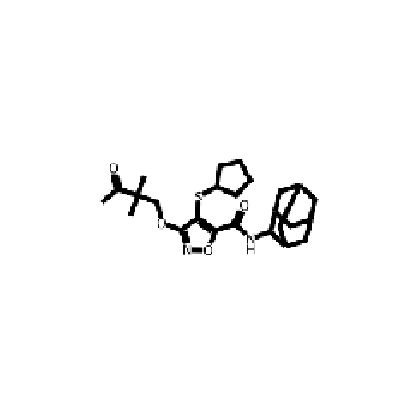 CC(=O)C(C)(C)COc1noc(C(=O)NC2C3CC4CC(C3)CC2C4)c1SC1CCCC1